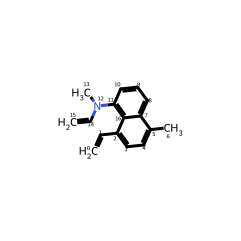 C=Cc1ccc(C)c2cccc(N(C)C=C)c12